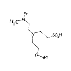 CCN(C)CCN(CCOC(C)C)CCS(=O)(=O)O